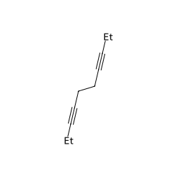 [CH2]CC#CCCC#CCC